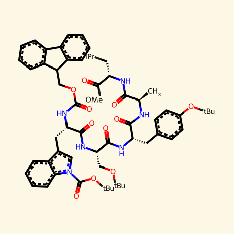 COC(=O)[C@H](CC(C)C)NC(=O)[C@@H](C)NC(=O)[C@H](Cc1ccc(OC(C)(C)C)cc1)NC(=O)[C@H](COC(C)(C)C)NC(=O)[C@H](Cc1cn(C(=O)OC(C)(C)C)c2ccccc12)NC(=O)OCC1c2ccccc2-c2ccccc21